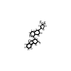 Cc1cc(-c2nccc3cc(C4=CC(F)(F)CC4)ccc23)c2oc3ccccc3c2c1